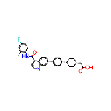 Cc1cc(F)ccc1NC(=O)c1ccnc2cc(-c3ccc([C@H]4CC[C@H](CC(=O)O)CC4)cc3)ccc12